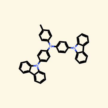 Cc1ccc(N(c2ccc(-n3c4ccccc4c4ccccc43)cc2)c2ccc(-n3c4ccccc4c4ccccc43)cc2)cc1